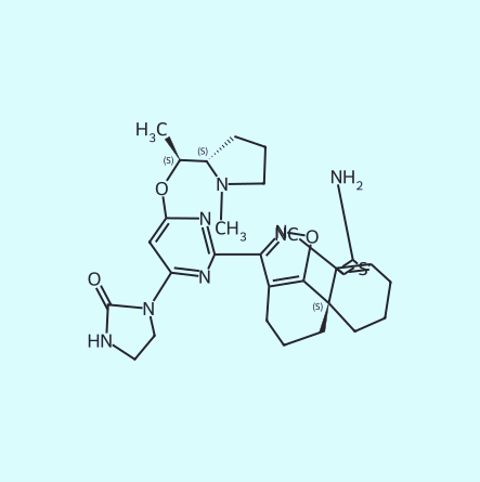 C[C@H](Oc1cc(N2CCNC2=O)nc(-c2noc3c2CCC[C@@]32CCCc3sc(N)c(C#N)c32)n1)[C@@H]1CCCN1C